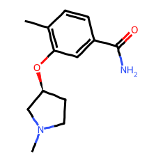 Cc1ccc(C(N)=O)cc1O[C@H]1CCN(C)C1